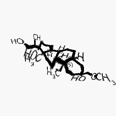 COC[C@@]1(O)CC[C@@]2(C)[C@H](CC[C@@H]3[C@@H]2CC[C@@]2(C)[C@H]3CC[C@@]2(O)C(C)CO)C1